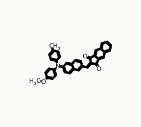 COc1ccc(N(c2ccc(C)cc2)c2ccc3cc(C=C4C(=O)c5cc6ccccc6cc5C4=O)ccc3c2)cc1